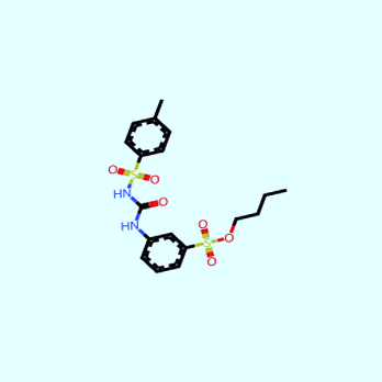 CCCCOS(=O)(=O)c1cccc(NC(=O)NS(=O)(=O)c2ccc(C)cc2)c1